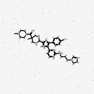 CN1CCN(C(=O)C2(C)COC(c3nc(-c4ccc(F)cc4)c(-c4ccnc(NCCCN5C=NCC5)n4)[nH]3)OC2)CC1